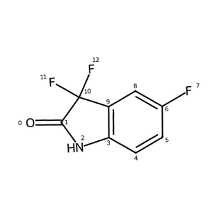 O=C1Nc2ccc(F)cc2C1(F)F